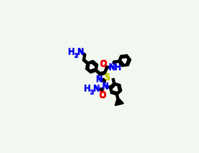 Cc1ccc(C2CC2)cc1N(C(N)=O)c1nc(-c2ccc(CCN)cc2)c(C(=O)NCc2ccccc2)s1